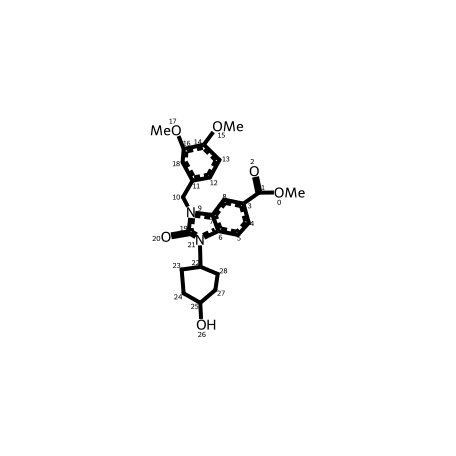 COC(=O)c1ccc2c(c1)n(Cc1ccc(OC)c(OC)c1)c(=O)n2C1CCC(O)CC1